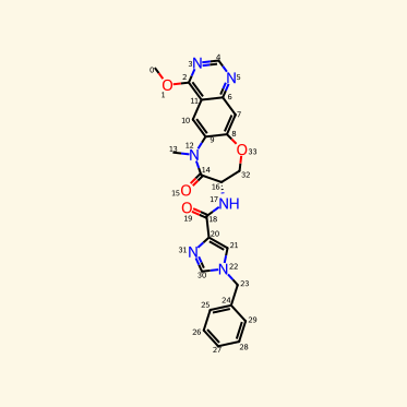 COc1ncnc2cc3c(cc12)N(C)C(=O)[C@@H](NC(=O)c1cn(Cc2ccccc2)cn1)CO3